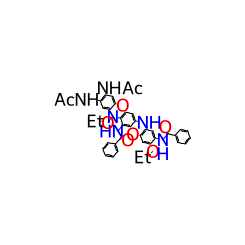 CCOc1cc2oc3c(NC(=O)c4ccccc4)c4c(cc3[nH]c2cc1NC(=O)c1ccccc1)oc1cc(NC(C)=O)c(NC(C)=O)cc1n4OCC